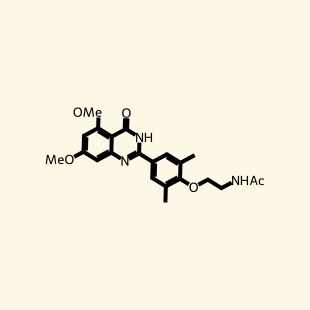 COc1cc(OC)c2c(=O)[nH]c(-c3cc(C)c(OCCNC(C)=O)c(C)c3)nc2c1